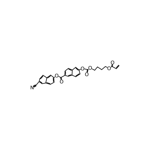 C=CC(=O)OCCCCOC(=O)Oc1ccc2cc(C(=O)Oc3ccc4cc(C#N)ccc4c3)ccc2c1